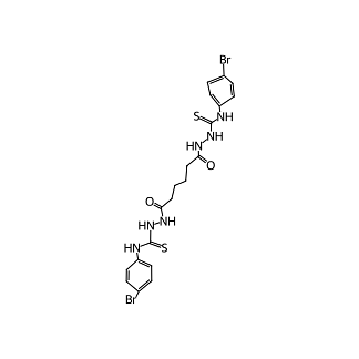 O=C(CCCCC(=O)NNC(=S)Nc1ccc(Br)cc1)NNC(=S)Nc1ccc(Br)cc1